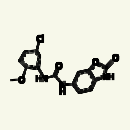 COc1ccc(Cl)cc1NC(=O)Nc1ccc2[nH]c(=O)oc2c1